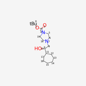 CC(C)(C)OC(=O)N1CCN(CC(O)C2CCCCCC2)CC1